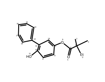 CCC(C)(C)C(=O)Oc1ccc(O)c(-c2ccccc2)c1